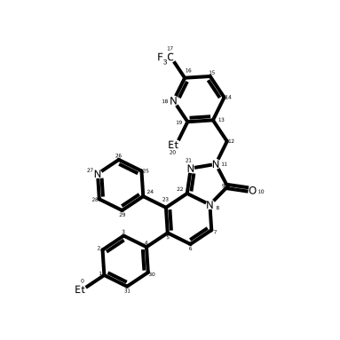 CCc1ccc(-c2ccn3c(=O)n(Cc4ccc(C(F)(F)F)nc4CC)nc3c2-c2ccncc2)cc1